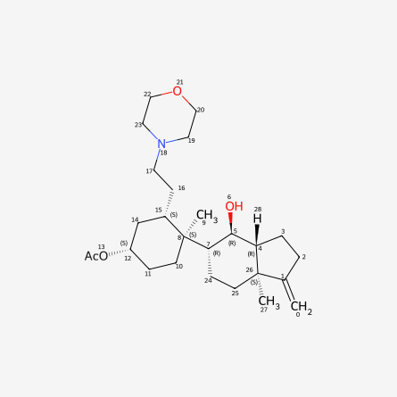 C=C1CC[C@H]2[C@H](O)[C@@H]([C@@]3(C)CC[C@H](OC(C)=O)C[C@@H]3CCN3CCOCC3)CC[C@]12C